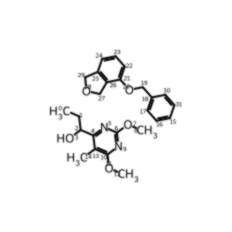 CCC(O)c1nc(OC)nc(OC)c1C.c1ccc(COc2cccc3c2COC3)cc1